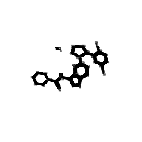 Cl.O=C(Nc1cnc2ccc(N3CCCC3c3cc(F)ccc3F)nn12)N1CCCCC1